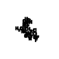 Cc1c(C(C)n2cc(NC(=O)c3cncc(-c4c(OC(F)F)ccc(Cl)c4F)n3)cn2)cnc(N2C[C@H]3CC[C@H]3C2=O)c1F